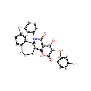 O=c1oc2c3c(n(-c4ccccc4)c(=O)c2c(O)c1Sc1cccc(Cl)c1)-c1cc(F)ccc1CCC3